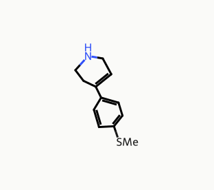 CSc1ccc(C2=CCNCC2)cc1